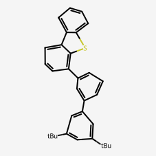 CC(C)(C)c1cc(-c2cccc(-c3cccc4c3sc3ccccc34)c2)cc(C(C)(C)C)c1